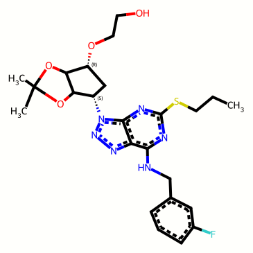 CCCSc1nc(NCc2cccc(F)c2)c2nnn([C@H]3C[C@@H](OCCO)C4OC(C)(C)OC43)c2n1